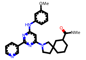 CNC(=O)C1CCCC2(CCN(c3cc(Nc4cccc(OC)c4)nc(-c4cccnc4)n3)C2)C1